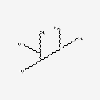 CCCCCCCCCC(CCCCCCCCCN(CCCCCCCCC)CCCCCCCCC)CCN(CCCCCCCCC)CCCCCCCCC